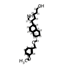 COc1cccc(COC[C@H]2CCc3cc([C@H](CN)CCCCO)ccc3C2)c1